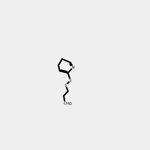 O=CCCSSC1=CCCC=N1